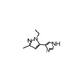 CCn1nc(C)cc1-c1c[nH]cn1